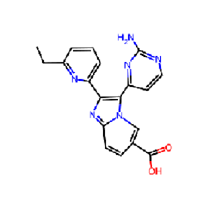 CCc1cccc(-c2nc3ccc(C(=O)O)cn3c2-c2ccnc(N)n2)n1